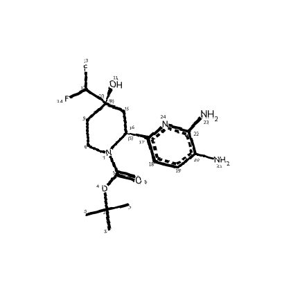 CC(C)(C)OC(=O)N1CC[C@](O)(C(F)F)C[C@H]1c1ccc(N)c(N)n1